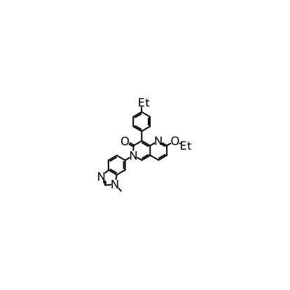 CCOc1ccc2cn(-c3ccc4ncn(C)c4c3)c(=O)c(-c3ccc(CC)cc3)c2n1